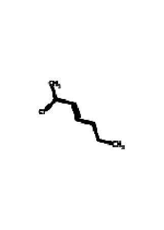 CCCC=CC(C)Cl